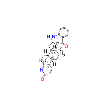 C[C@]12CC[C@H]3[C@@H](CCC4=NC(=O)C=C[C@@]43C)[C@@H]1CC[C@@H]2C(=O)c1ccccc1N